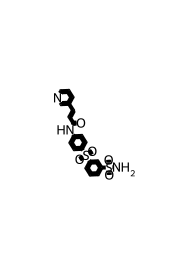 NS(=O)(=O)c1cccc(S(=O)(=O)c2ccc(NC(=O)C=Cc3cccnc3)cc2)c1